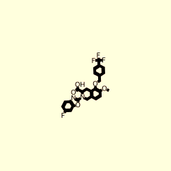 COc1ccc2c(c1OCc1ccc(C(F)(F)F)cc1)CC(C(=O)O)N(c1nc3ccc(F)cc3o1)C2